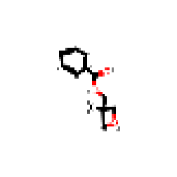 CC1(COC(=O)c2ccccc2)COC1